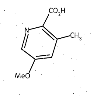 COc1cnc(C(=O)O)c(C)c1